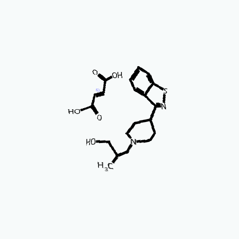 CC(CO)CN1CCC(c2nsc3ccccc23)CC1.O=C(O)/C=C/C(=O)O